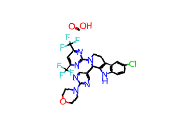 FC(F)(F)c1cc(C(F)(F)F)nc(N2CCc3c([nH]c4ccc(Cl)cc34)C2c2cnc(N3CCOCC3)nc2)n1.O=CO